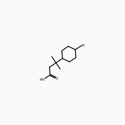 CC(C)C1CCC(C(C)(C)CC(=O)C(C)(C)C)CC1